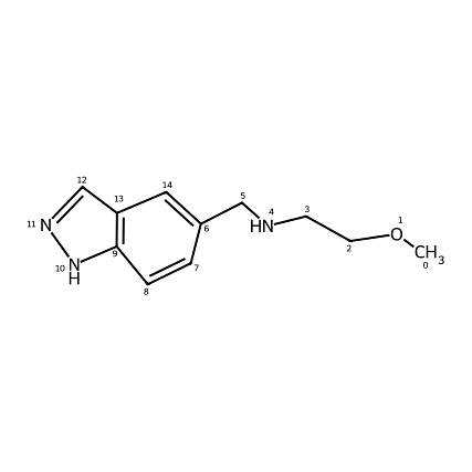 COCCNCc1ccc2[nH]ncc2c1